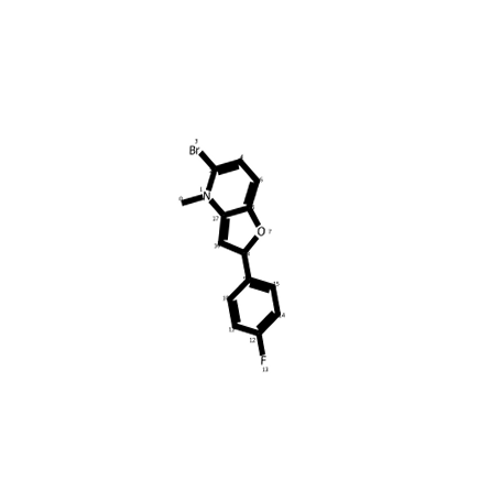 CN1C(Br)=CC=C2OC(c3ccc(F)cc3)C=C21